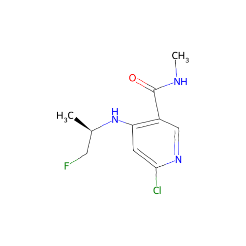 CNC(=O)c1cnc(Cl)cc1N[C@H](C)CF